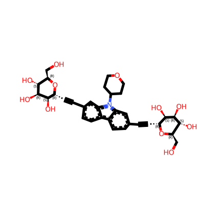 OC[C@H]1O[C@H](C#Cc2ccc3c4ccc(C#C[C@H]5O[C@H](CO)[C@@H](O)[C@H](O)[C@@H]5O)cc4n(C4CCOCC4)c3c2)[C@@H](O)[C@@H](O)[C@@H]1O